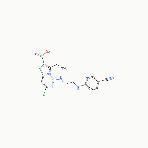 CCc1c(C(=O)O)nc2cc(Cl)nc(NCCNc3ccc(C#N)cn3)n12